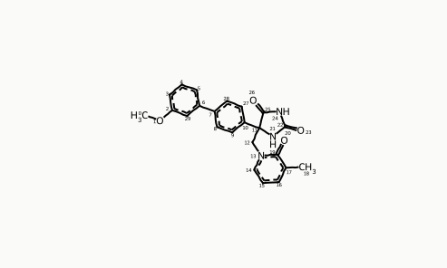 COc1cccc(-c2ccc(C3(Cn4cccc(C)c4=O)NC(=O)NC3=O)cc2)c1